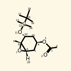 CC(=O)O[C@H]1C[C@@H]2O[C@]2(C)[C@H](O[Si](C)(C)C(C)(C)C)C1